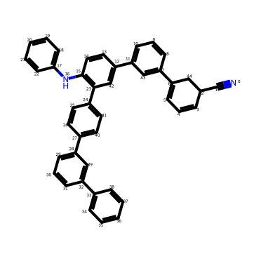 N#CC1C=CC=C(c2cccc(-c3ccc(Nc4ccccc4)c(-c4ccc(-c5cccc(-c6ccccc6)c5)cc4)c3)c2)C1